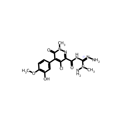 COc1ccc(-c2c(Cl)c(C(=O)N/C(=N/N)N(C)N)nn(C)c2=O)cc1O